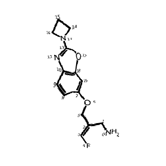 NC/C(=C\F)COc1ccc2nc(N3CCC3)oc2c1